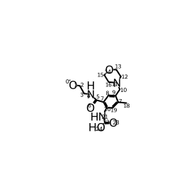 COCCNC(=O)c1cc(CN2CCOCC2)c(C)cc1NC(=O)O